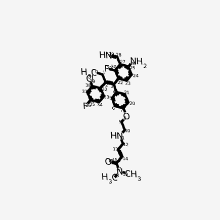 CC/C(=C(/c1ccc(OCCNC/C=C/C(=O)N(C)C)cc1)c1ccc(N)c(C=N)c1F)c1ccc(F)cc1Cl